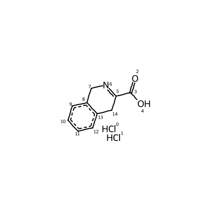 Cl.Cl.O=C(O)C1=NCc2ccccc2C1